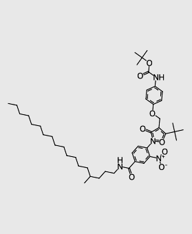 CCCCCCCCCCCCCCC(C)CCCNC(=O)c1ccc(-n2oc(C(C)(C)C)c(COc3ccc(NC(=O)OC(C)(C)C)cc3)c2=O)c([N+](=O)[O-])c1